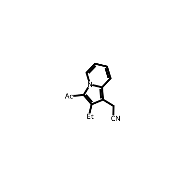 CCc1c(CC#N)c2ccccn2c1C(C)=O